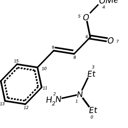 CCN(N)CC.COOC(=O)C=Cc1ccccc1